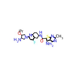 Cc1ncc2c(N)c(C(=O)NC3CCc4nc(N5CC(N)C(OC(C)C)C5)cc(F)c4C3)sc2n1